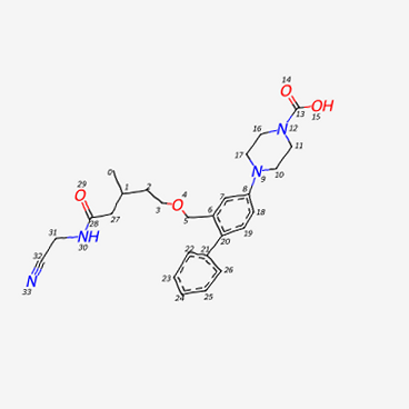 CC(CCOCc1cc(N2CCN(C(=O)O)CC2)ccc1-c1ccccc1)CC(=O)NCC#N